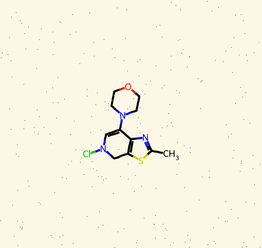 Cc1nc2c(s1)CN(Cl)C=C2N1CCOCC1